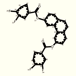 O=C(Oc1ccc2ccc3ccc(OC(=O)c4ccc(F)c(F)c4)cc3c2c1)c1ccc(F)c(F)c1